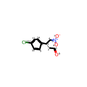 O=CC[C@@H](C[N+](=O)[O-])c1ccc(Cl)cc1